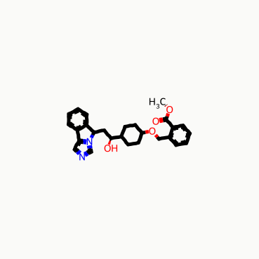 COC(=O)c1ccccc1COC1CCC([C@@H](O)CC2c3ccccc3-c3cncn32)CC1